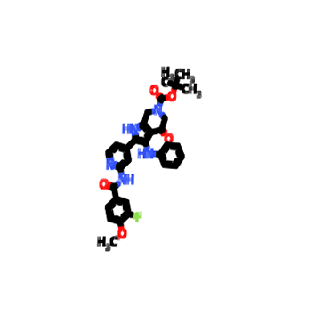 COc1ccc(C(=O)Nc2cc(-c3[nH]c4c(c3Nc3ccccc3)C(=O)CN(C(=O)OC(C)(C)C)C4)ccn2)cc1F